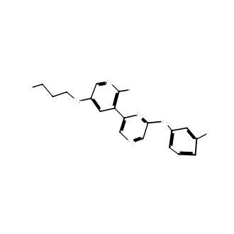 OCCCNc1cnc(Cl)c(-c2cncc(Nc3cccc(Cl)c3)n2)c1